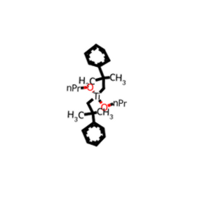 CCC[O][Ti]([CH2]C(C)(C)c1ccccc1)([CH2]C(C)(C)c1ccccc1)[O]CCC